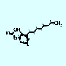 CCCCCCCCc1cccc(OP(O)O)c1